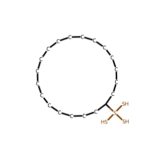 SS(S)(S)C1CCCCCCCCCCCCCCCCCCC1